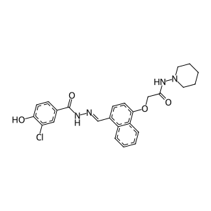 O=C(COc1ccc(/C=N/NC(=O)c2ccc(O)c(Cl)c2)c2ccccc12)NN1CCCCC1